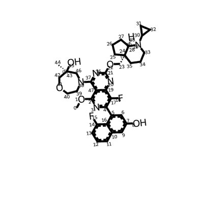 COc1nc(-c2cc(O)cc3cccc(F)c23)c(F)c2nc(OC[C@]34CCC[C@H]3N(C3CC3)CCC4)nc(N3CCOC[C@@](C)(O)C3)c12